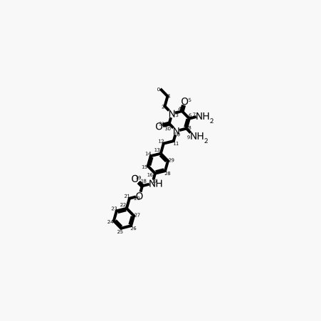 CCCn1c(=O)c(N)c(N)n(CCc2ccc(NC(=O)OCc3ccccc3)cc2)c1=O